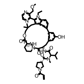 C=CC(=O)N1CC[C@H](C(=O)N(C)C(C(=O)N[C@H]2Cc3cc(O)cc(c3)-c3ccc4c(c3)c(c(-c3nccnc3COC)n4CC)CC(C)(C)COC(=O)[C@@H]3CCCN(N3)C2=O)C(C)C)C1